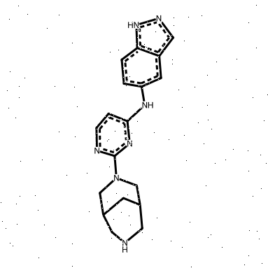 c1cc(Nc2ccc3[nH]ncc3c2)nc(N2CC3CNCC(C3)C2)n1